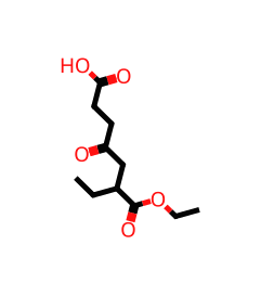 CCOC(=O)C(CC)CC(=O)CCC(=O)O